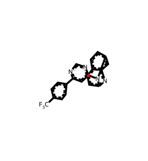 FC(F)(F)c1ccc(-c2cc(N3c4ccc5ccc3nc5c4)ncn2)cc1